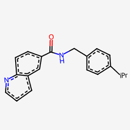 CC(C)c1ccc(CNC(=O)c2ccc3ncccc3c2)cc1